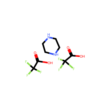 C1CNCCN1.O=C(O)C(F)(F)F.O=C(O)C(F)(F)F